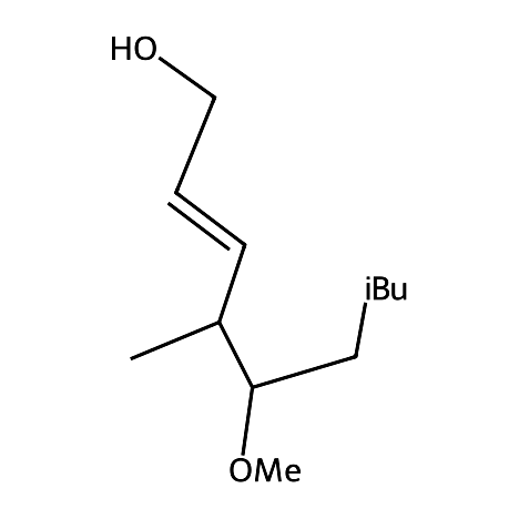 CCC(C)CC(OC)C(C)C=CCO